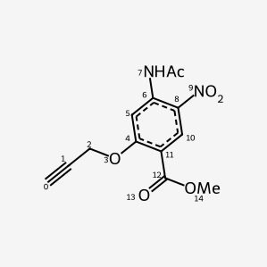 C#CCOc1cc(NC(C)=O)c([N+](=O)[O-])cc1C(=O)OC